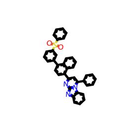 O=S(=O)(c1ccccc1)c1cccc(-c2ccc(-c3cc(-c4ccccc4)n4c(n3)nc3ccccc34)c3ccccc23)c1